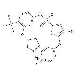 CN1CC[C@@H](Oc2cc(NS(=O)(=O)c3cc(Br)c(Sc4ccc(F)cc4)s3)ccc2C(F)(F)F)C1